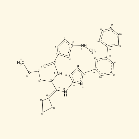 CNn1ccc(C(=O)NC(CCSC)C(Nc2nc(-c3cccc(-c4ccncc4)c3)cs2)=C2CCC2)c1